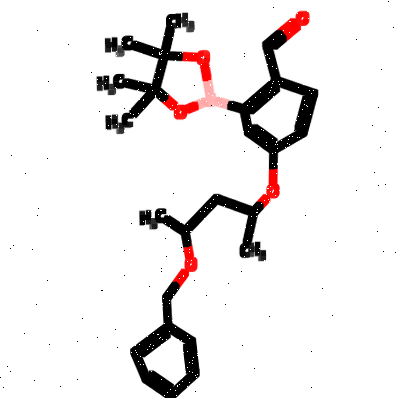 CC(CC(C)Oc1ccc(C=O)c(B2OC(C)(C)C(C)(C)O2)c1)OCc1ccccc1